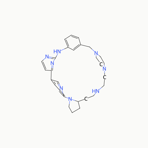 c1cc2cc(c1)Nc1nccc(n1)-c1ccc(nc1)N1CCCC1CCNCCN1CCN(CC1)C2